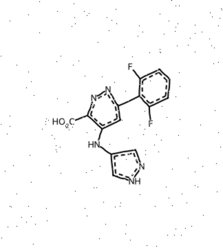 O=C(O)c1nnc(-c2c(F)cccc2F)cc1Nc1cn[nH]c1